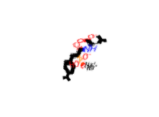 CC(C)C[C@H](NC(=O)C(Cc1ccc(C(C)C)cc1)P(=O)([O-])O)C(=O)[O-].[Na+].[Na+]